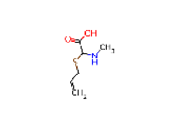 C=CCSC(NC)C(=O)O